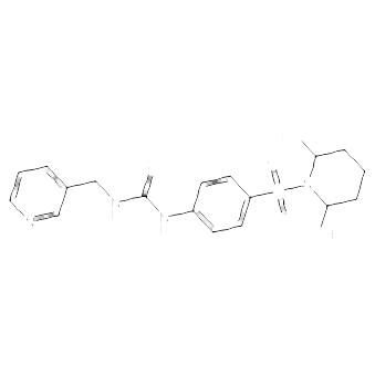 CC1CCCC(C)N1S(=O)(=O)c1ccc(NC(=O)NCc2cccnc2)cc1